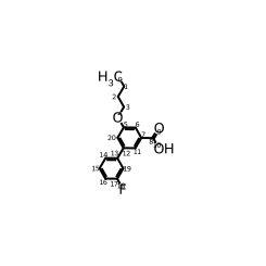 CCCCOc1cc(C(=O)O)cc(-c2cccc(F)c2)c1